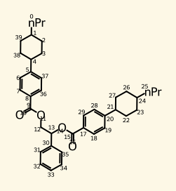 CCCC1CCC(c2ccc(C(=O)OCC(OC(=O)c3ccc(C4CCC(CCC)CC4)cc3)c3ccccc3)cc2)CC1